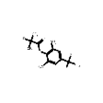 Nc1cc(C(F)(F)C(F)(F)F)cc(N)c1OC(=O)C(F)(C(F)(F)F)C(F)(F)F